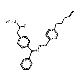 C=CCCCc1ccc(C=NN=C(c2ccccc2)c2ccc(CC(F)CCCCC)cc2)cc1